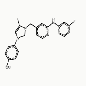 CC1=CN(c2ccc(C(C)(C)C)cc2)CN1Cc1ccnc(Nc2cccc(F)c2)c1